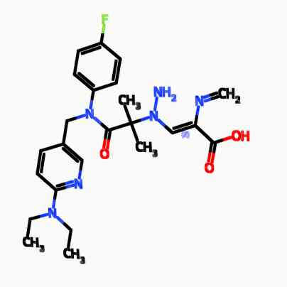 C=N/C(=C\N(N)C(C)(C)C(=O)N(Cc1ccc(N(CC)CC)nc1)c1ccc(F)cc1)C(=O)O